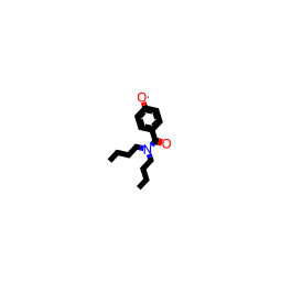 CCCCN(CCCC)C(=O)c1ccc([O])cc1